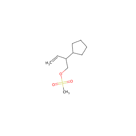 C=CC(COS(C)(=O)=O)C1CCCC1